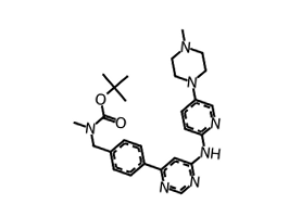 CN1CCN(c2ccc(Nc3cc(-c4ccc(CN(C)C(=O)OC(C)(C)C)cc4)ncn3)nc2)CC1